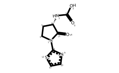 O=C(O)N[C@H]1CCN(c2nccs2)C1=O